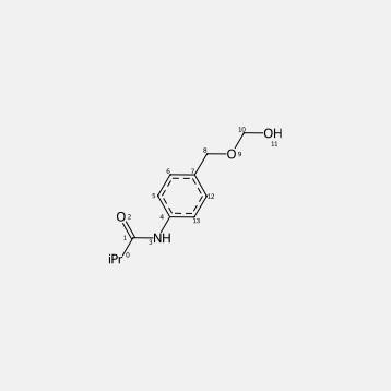 CC(C)C(=O)Nc1ccc(COCO)cc1